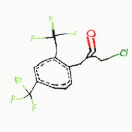 O=C(CCl)c1ccc(C(F)(F)F)cc1C(F)(F)F